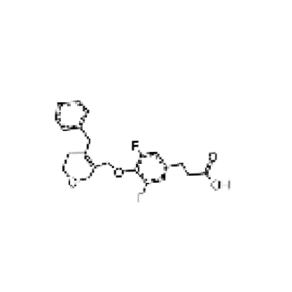 O=C(O)CCc1cc(F)c(OCC2=C(Cc3ccccc3)CCOC2)c(F)c1